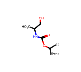 CCCCCC(CC)OC(=O)NC(CO)C(=O)O